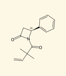 C=CC(C)(C)C(=O)N1C(=O)C[C@H]1c1ccccc1